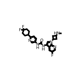 CNC1CC(n2cc(NC(=O)Nc3ccc(C4CCC(F)(F)CC4)nc3)c3cc(F)cnc32)C1